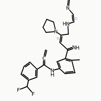 C=C=C(Nc1ccc(C)c(C(=N)/C=C(\CN/C=C\N=C)N2CCCC2)c1)c1cccc(C(F)F)c1